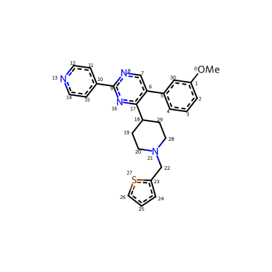 COc1cccc(-c2cnc(-c3ccncc3)nc2C2CCN(Cc3cccs3)CC2)c1